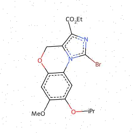 CCOC(=O)c1nc(Br)n2c1COc1cc(OC)c(OC(C)C)cc1-2